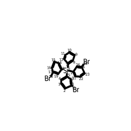 Brc1cccc([Si](c2ccccc2)(c2cccc(Br)c2)c2cccc(Br)c2)c1